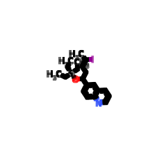 CC[Si](CC)(CC)OC(C/C=C(/C)I)c1ccc2ncccc2c1